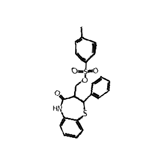 Cc1ccc(S(=O)(=O)OCC2C(=O)Nc3ccccc3SC2c2ccccc2)cc1